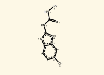 CCCNC(=O)Nc1nc2ccc(O)cc2[nH]1